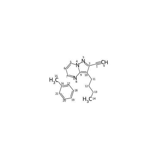 C#Cc1nn2cccnc2c1CCCC.Cc1ccccc1